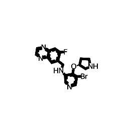 Fc1cc2nccnc2cc1CNc1cncc(Br)c1O[C@@H]1CCNC1